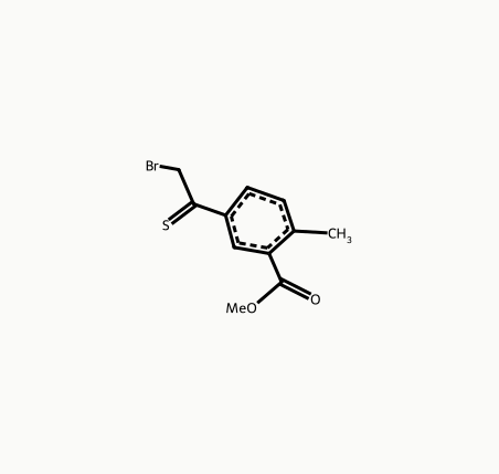 COC(=O)c1cc(C(=S)CBr)ccc1C